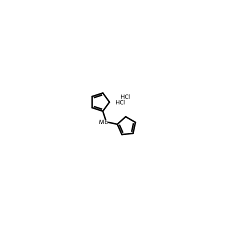 C1=CC[C]([Mo][C]2=CC=CC2)=C1.Cl.Cl